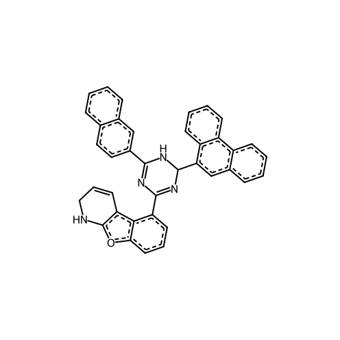 C1=Cc2c(oc3cccc(C4=NC(c5cc6ccccc6c6ccccc56)NC(c5ccc6ccccc6c5)=N4)c23)NC1